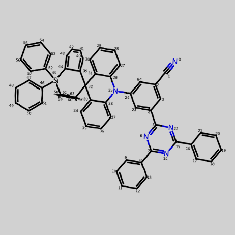 N#Cc1cc(-c2nc(-c3ccccc3)nc(-c3ccccc3)n2)cc(N2c3ccccc3C3(c4ccccc42)c2ccccc2[Si](c2ccccc2)(c2ccccc2)c2ccccc23)c1